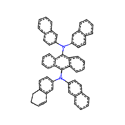 C1=Cc2cc(N(c3ccc4ccccc4c3)c3c4ccccc4c(N(c4ccc5ccccc5c4)c4ccc5ccccc5c4)c4ccccc34)ccc2CC1